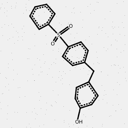 O=S(=O)(c1ccccc1)c1ccc(Cc2ccc(O)cc2)cc1